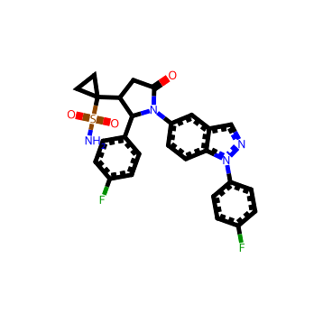 NS(=O)(=O)C1(C2CC(=O)N(c3ccc4c(cnn4-c4ccc(F)cc4)c3)C2c2ccc(F)cc2)CC1